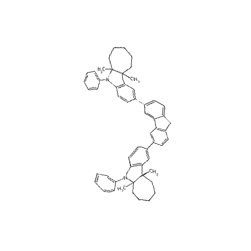 CC12CCCCCC1(C)N(c1ccccc1)c1ccc(-c3ccc4c(c3)-c3cc(-c5ccc6c(c5)C5(C)CCCCCC5(C)N6c5ccccc5)ccc3C4)cc12